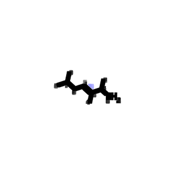 BC(C)/C(C)=C/CC(C)C